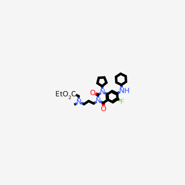 CCOC(=O)CN(C)CCCn1c(=O)c2cc(F)c(NC3CCCCC3)cc2n(C2CCCC2)c1=O